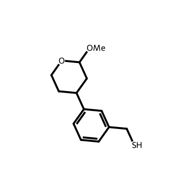 COC1CC(c2cccc(CS)c2)CCO1